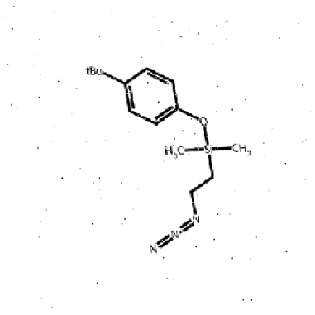 CC(C)(C)c1ccc(O[Si](C)(C)CCN=[N+]=[N-])cc1